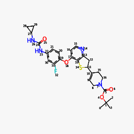 CC(C)(C)OC(=O)N1CC=C(C2Cc3nccc(Oc4ccc(NC(=O)NC5CC5)cc4F)c3S2)CC1